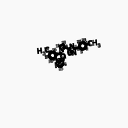 Cc1ccc(-c2noc([C@@H]3CCN3C(=O)c3cc(C)ccc3-n3nccn3)n2)cc1